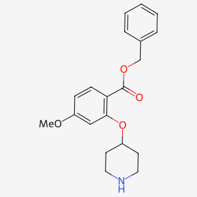 COc1ccc(C(=O)OCc2ccccc2)c(OC2CCNCC2)c1